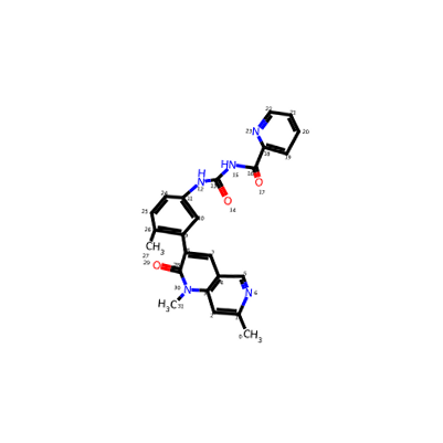 Cc1cc2c(cn1)cc(-c1cc(NC(=O)NC(=O)c3ccccn3)ccc1C)c(=O)n2C